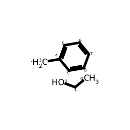 CCO.[CH2]c1ccccc1